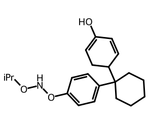 CC(C)ONOc1ccc(C2(C3C=CC(O)=CC3)CCCCC2)cc1